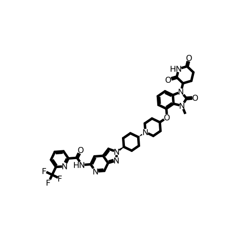 Cn1c(=O)n(C2CCC(=O)NC2=O)c2cccc(OC3CCN([C@H]4CC[C@H](n5cc6cc(NC(=O)c7cccc(C(F)(F)F)n7)ncc6n5)CC4)CC3)c21